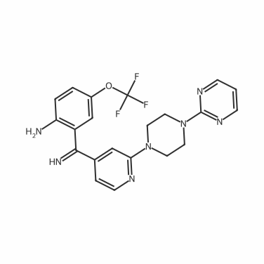 N=C(c1ccnc(N2CCN(c3ncccn3)CC2)c1)c1cc(OC(F)(F)F)ccc1N